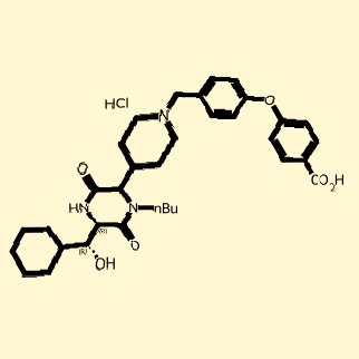 CCCCN1C(=O)[C@@H]([C@H](O)C2CCCCC2)NC(=O)C1C1CCN(Cc2ccc(Oc3ccc(C(=O)O)cc3)cc2)CC1.Cl